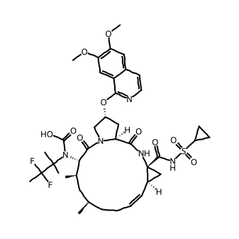 COc1cc2ccnc(O[C@@H]3C[C@H]4C(=O)N[C@]5(C(=O)NS(=O)(=O)C6CC6)C[C@H]5C=CCC[C@@H](C)C[C@@H](C)[C@H](N(C(=O)O)C(C)(C)C(C)(F)F)C(=O)N4C3)c2cc1OC